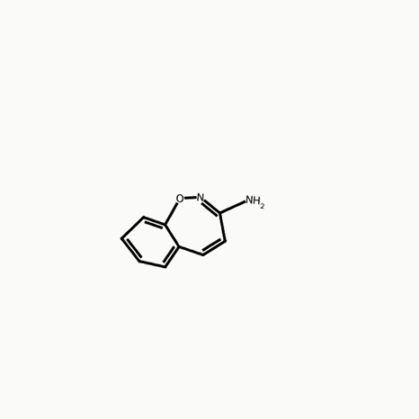 NC1=NOc2ccccc2C=C1